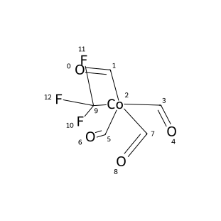 O=[CH][Co]([CH]=O)([CH]=O)([CH]=O)[C](F)(F)F